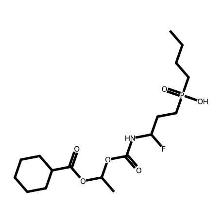 CCCCP(=O)(O)CCC(F)NC(=O)OC(C)OC(=O)C1CCCCC1